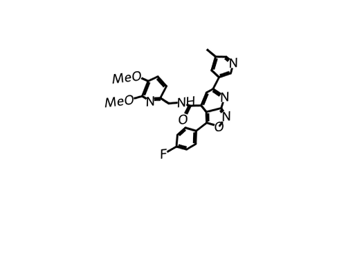 COc1ccc(CNC(=O)c2cc(-c3cncc(C)c3)nc3noc(-c4ccc(F)cc4)c23)nc1OC